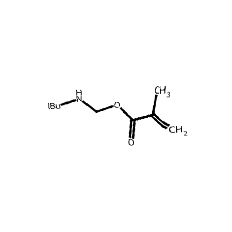 C=C(C)C(=O)OCNC(C)CC